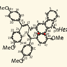 CCCCCCn1c2ccccc2c2cc(N(C=C(c3ccc(OC)cc3)c3ccc(OC)cc3)C=C(c3ccc(OC)cc3)c3ccc(OC)cc3)ccc21